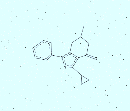 CC1CC(=O)c2c(C3CC3)nn(-c3ccccc3)c2C1